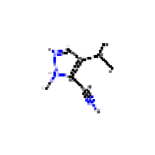 CC(C)c1[c]nn(C)c1C#N